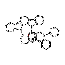 c1ccc(-c2cccc(-n3c4ccccc4c4ccc5c6ccccc6n(-c6cccc7c6sc6cc(-c8ccccc8)ccc67)c5c43)c2)cc1